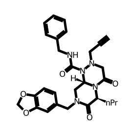 C#CCN1CC(=O)N2[C@@H](CCC)C(=O)N(Cc3ccc4c(c3)OCO4)C[C@@H]2N1C(=O)NCc1ccccc1